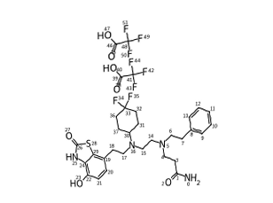 NC(=O)CCN(CCc1ccccc1)CCN(CCc1ccc(O)c2[nH]c(=O)sc12)C1CCC(F)(F)CC1.O=C(O)C(F)(F)F.O=C(O)C(F)(F)F